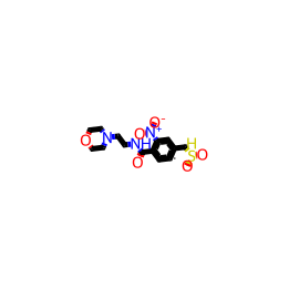 O=C(NCCN1CCOCC1)c1c[c]c(C[SH](=O)=O)cc1[N+](=O)[O-]